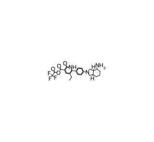 CCc1cc(C(=O)OC(=O)C(F)(F)F)c(=O)[nH]c1-c1ccc(N2C[C@H]3CCC[C@H](N)[C@H]3C2)cc1